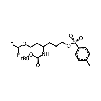 Cc1ccc(S(=O)(=O)OCCCC(CCOC(F)F)NC(=O)OC(C)(C)C)cc1